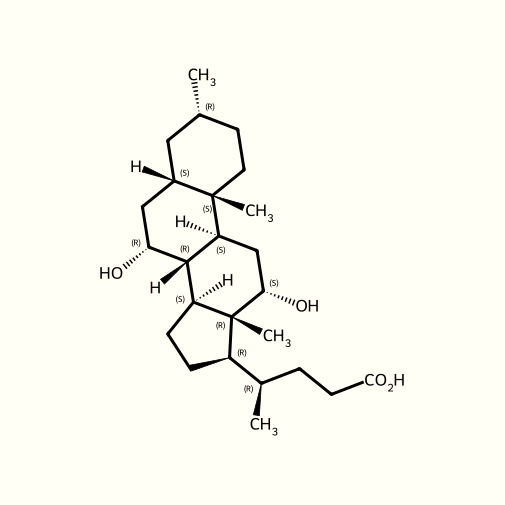 C[C@@H]1CC[C@@]2(C)[C@@H](C1)C[C@@H](O)[C@@H]1[C@@H]2C[C@H](O)[C@]2(C)[C@@H]([C@H](C)CCC(=O)O)CC[C@@H]12